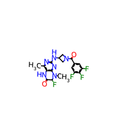 Cc1nc(NC2CN(C(=O)c3cc(F)c(F)c(F)c3)C2)nc2c1NC(=O)[C@H](F)N2C